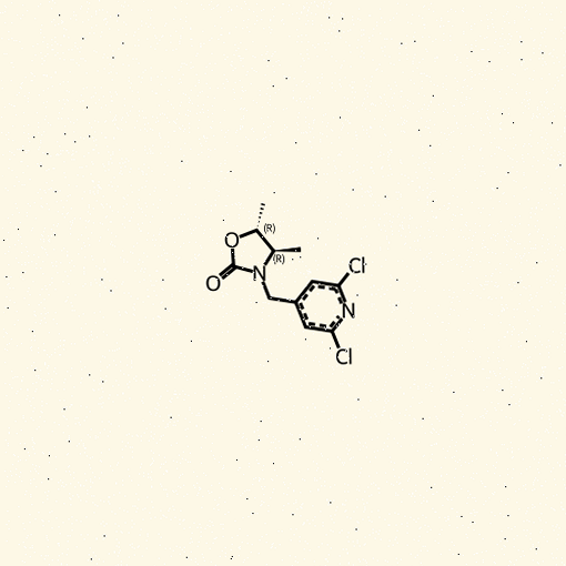 C[C@@H]1[C@@H](C)OC(=O)N1Cc1cc(Cl)nc(Cl)c1